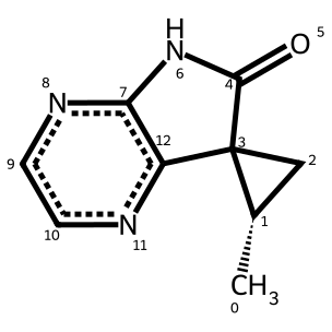 C[C@H]1CC12C(=O)Nc1nccnc12